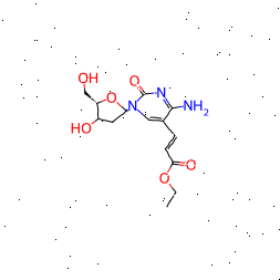 CCOC(=O)/C=C/c1cn([C@H]2CC(O)[C@@H](CO)O2)c(=O)nc1N